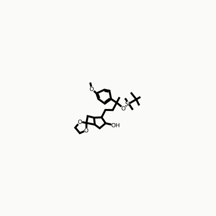 COc1ccc(C(C)(CCC2C(O)CC3C2CC32OCCO2)O[Si](C)(C)C(C)(C)C)cc1